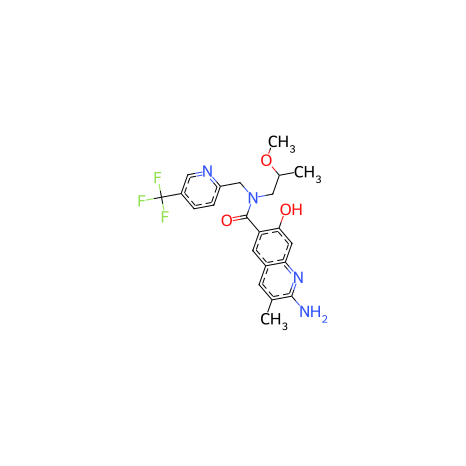 COC(C)CN(Cc1ccc(C(F)(F)F)cn1)C(=O)c1cc2cc(C)c(N)nc2cc1O